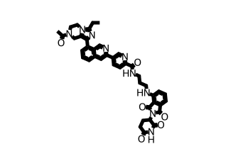 CCc1nc(-c2cccc3cc(-c4ccc(C(=O)NCCCNc5cccc6c5C(=O)N(C5CCC(=O)NC5=O)C6=O)nc4)ncc23)c2n1CCN(C(C)=O)C2